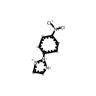 ClN(Cl)c1ccc(-n2nccn2)cc1